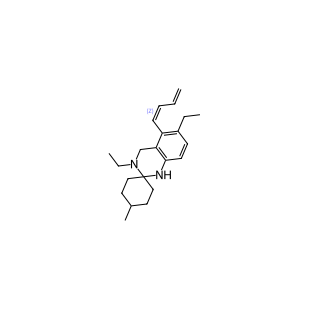 C=C/C=C\c1c(CC)ccc2c1CN(CC)C1(CCC(C)CC1)N2